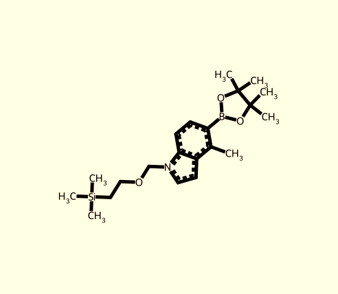 Cc1c(B2OC(C)(C)C(C)(C)O2)ccc2c1ccn2COCC[Si](C)(C)C